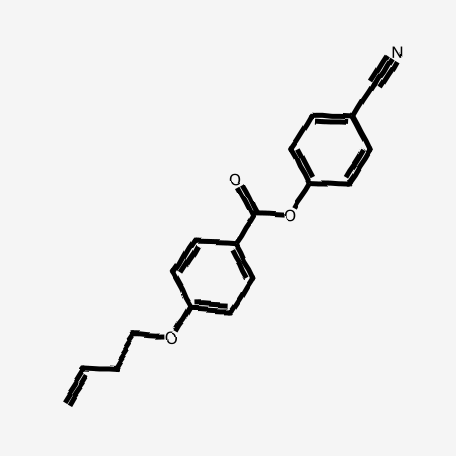 C=CCCOc1ccc(C(=O)Oc2ccc(C#N)cc2)cc1